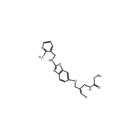 Cc1ncccc1CNc1nc2ccc(OCC(=CF)CNC(=O)OC(C)(C)C)cc2o1